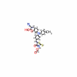 Cc1ccc(N(c2ccc(/C=C(/C#N)C(=O)O)cc2)c2ccc(/C=C3\SC(=S)N(COC=O)C3=O)cc2)cc1